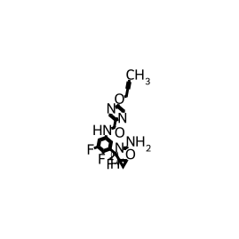 CC#CCOc1cnc(C(=O)Nc2cc(F)c(F)c([C@]3(CF)N=C(N)OC4C[C@H]43)c2)cn1